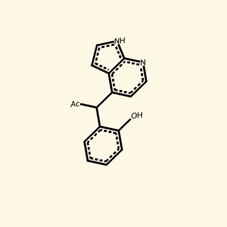 CC(=O)C(c1ccccc1O)c1ccnc2[nH]ccc12